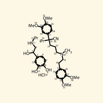 CC(C)NCC(O)c1ccc(O)c(O)c1.COc1ccc(CCN(C)CCCC(C#N)(c2ccc(OC)c(OC)c2)C(C)C)cc1OC.Cl